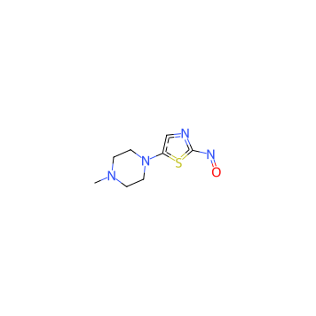 CN1CCN(c2cnc(N=O)s2)CC1